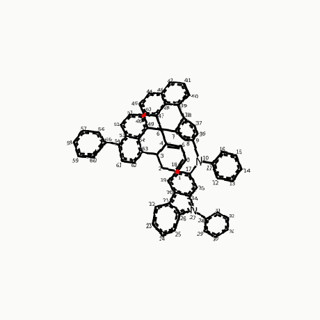 C1=CCC2C(=C1)C1(c3cc(N(c4ccccc4)c4ccc5c6ccccc6n(-c6ccccc6)c5c4)ccc3-c3cccc4cccc1c34)c1cccc3c(-c4ccccc4)ccc2c13